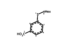 CCCCCCSc1cccc(C(=O)O)c1